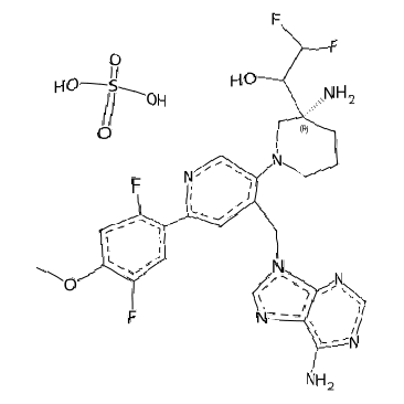 COc1cc(F)c(-c2cc(Cn3cnc4c(N)ncnc43)c(N3CCC[C@](N)(C(O)C(F)F)C3)cn2)cc1F.O=S(=O)(O)O